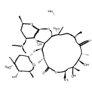 CC[C@H]1OC(=O)[C@H](C)[C@@H](O[C@H]2C[C@@](C)(OC)[C@@H](O)[C@H](C)O2)C(C)[C@@H](O[C@@H]2O[C@H](C)C[C@H](N(C)C)[C@H]2O)[C@](C)(OC)C[C@@H](C)C(=O)[C@H](C)[C@@H](O)[C@]1(C)O.N